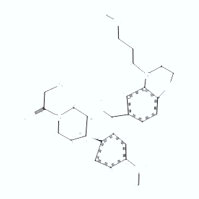 COCCCN1CCOc2ccc(CO[C@H]3CN(C(=O)[C@H](C)N)CC[C@@H]3c3ccc(OC)cc3)cc21